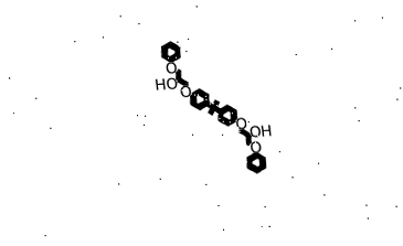 CC(C)(c1ccc(OCC(O)COc2ccccc2)cc1)c1ccc(OCC(O)COc2ccccc2)cc1